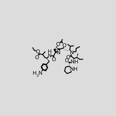 CCCN(C(=O)[C@@H](NC(=O)[C@H]1CCCCN1)[C@@H](C)CC)[C@H](C[C@@H](OC(C)=O)c1nc(C(=O)N[C@@H](Cc2ccc(N)cc2)CC(C)C(=O)OCC)cs1)C(C)C